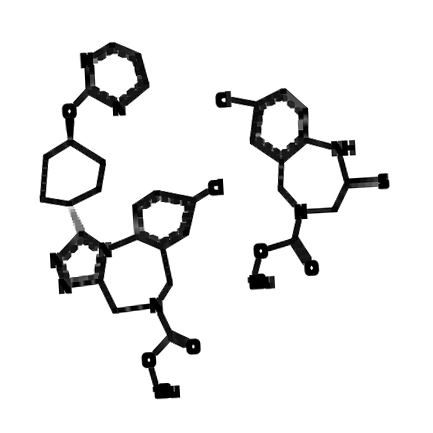 CC(C)(C)OC(=O)N1CC(=S)Nc2ccc(Cl)cc2C1.CC(C)(C)OC(=O)N1Cc2cc(Cl)ccc2-n2c(nnc2[C@H]2CC[C@H](Oc3ncccn3)CC2)C1